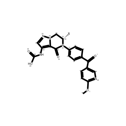 COc1ccc(C(=O)c2ccc(N3C(=O)c4c(NC(=O)O)cnn4C[C@@H]3C)cc2)cn1